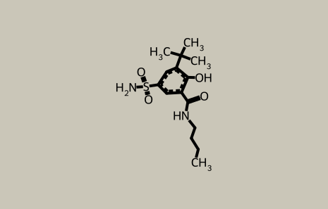 CCCCNC(=O)c1cc(S(N)(=O)=O)cc(C(C)(C)C)c1O